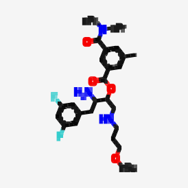 CCCCOCCCNCC(OC(=O)c1cc(C)cc(C(=O)N(CCC)CCC)c1)C(N)Cc1cc(F)cc(F)c1